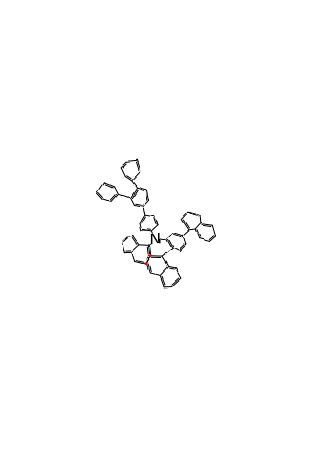 c1ccc(-c2ccc(-c3ccc(N(c4cc(-c5cccc6ccccc56)ccc4-c4cccc5ccccc45)c4cccc5ccccc45)cc3)cc2-c2ccccc2)cc1